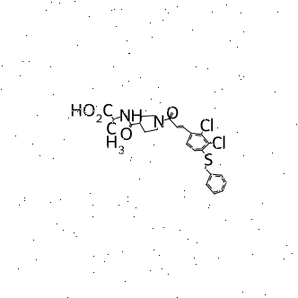 CC(NC(=O)C1CCN(C(=O)C=Cc2ccc(SCc3ccccc3)c(Cl)c2Cl)CC1)C(=O)O